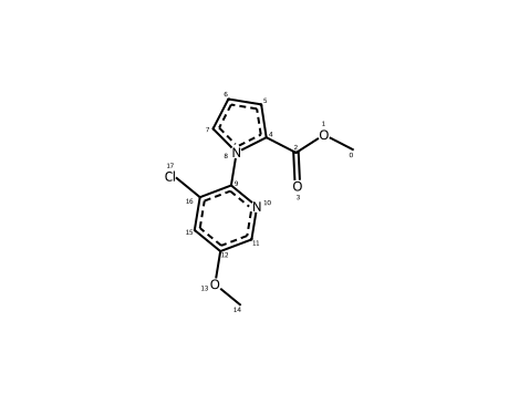 COC(=O)c1cccn1-c1ncc(OC)cc1Cl